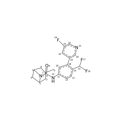 CC1CC2CC(C1)N2C(=O)Nc1ccc(C(F)F)c(-c2cncc(F)c2)c1